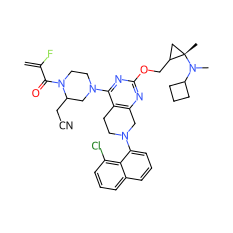 C=C(F)C(=O)N1CCN(c2nc(OCC3C[C@]3(C)N(C)C3CCC3)nc3c2CCN(c2cccc4cccc(Cl)c24)C3)CC1CC#N